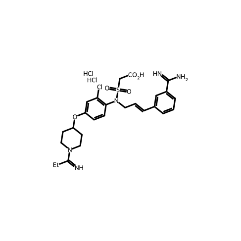 CCC(=N)N1CCC(Oc2ccc(N(C/C=C/c3cccc(C(=N)N)c3)S(=O)(=O)CC(=O)O)c(Cl)c2)CC1.Cl.Cl